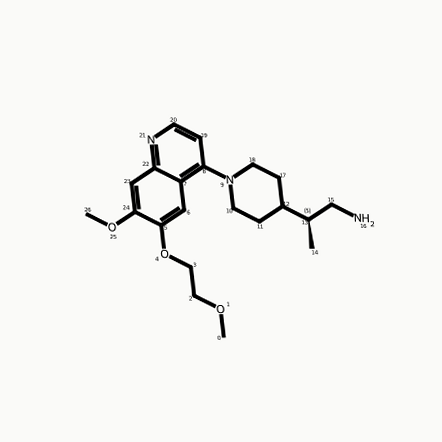 COCCOc1cc2c(N3CCC([C@H](C)CN)CC3)ccnc2cc1OC